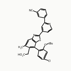 Cc1cc2nc(-c3ccnc(-c4cccc(C#N)c4)c3)sc2c(-c2ccc(Cl)cc2OC(C)(C)C)c1CC(=O)O